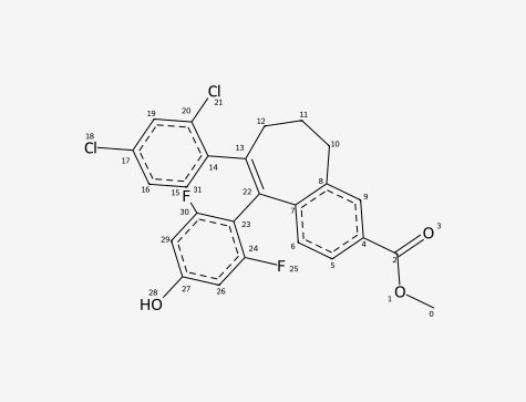 COC(=O)c1ccc2c(c1)CCCC(c1ccc(Cl)cc1Cl)=C2c1c(F)cc(O)cc1F